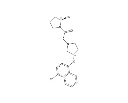 N#C[C@@H]1CCCN1C(=O)CN1CC[C@H](Oc2ccc(Cl)c3ccccc23)C1